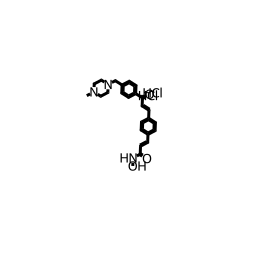 CN1CCN(Cc2ccc(C(=O)C=Cc3ccc(C=CC(=O)NO)cc3)cc2)CC1.Cl.Cl